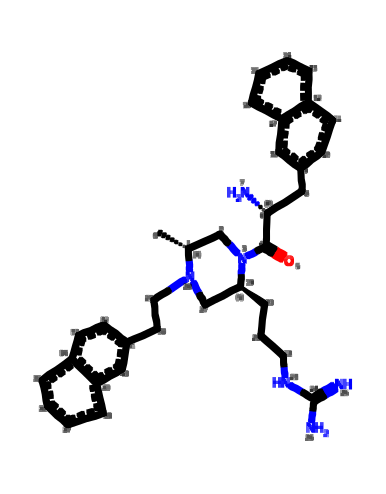 C[C@@H]1CN(C(=O)[C@H](N)Cc2ccc3ccccc3c2)[C@@H](CCCNC(=N)N)CN1CCc1ccc2ccccc2c1